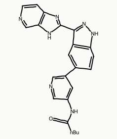 CCCCC(=O)Nc1cncc(-c2ccc3[nH]nc(-c4nc5ccncc5[nH]4)c3c2)c1